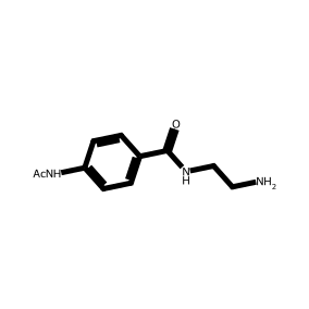 CC(=O)Nc1ccc(C(=O)NCCN)cc1